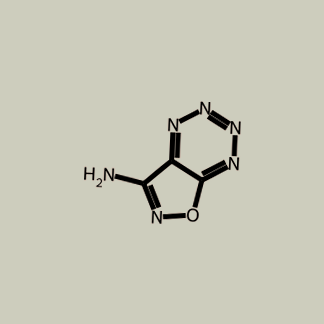 Nc1noc2nnnnc12